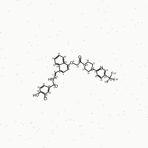 O=C(N/N=C/c1ccc(OCC(=O)N2CCN(c3ccc(C(F)(F)F)cn3)CC2)c2ccccc12)c1ccc(O)c(Cl)c1